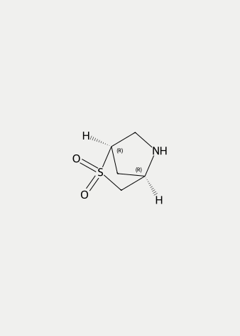 O=S1(=O)C[C@H]2C[C@@H]1CN2